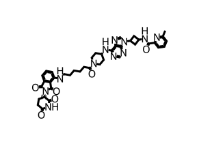 Cc1cccc(C(=O)NC2CC(n3cnc4c(NC5CCN(C(=O)CCCCCNc6cccc7c6C(=O)N([C@@H]6CCC(=O)NC6=O)C7=O)CC5)ncnc43)C2)n1